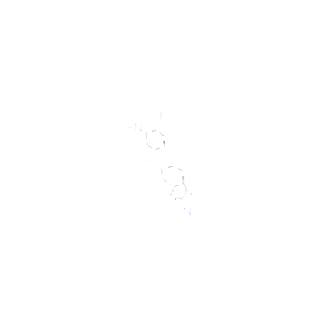 Nc1nc2ccc(Oc3cccc(NC(=O)O)c3)cc2[nH]1